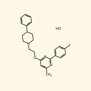 Cc1cc(OCCN2CCC(c3ccccc3)CC2)nc(-c2ccc(F)cc2)n1.Cl